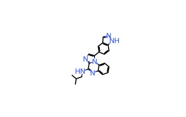 CC(C)CNc1nc2ccccc2n2c(-c3ccc4[nH]ncc4c3)cnc12